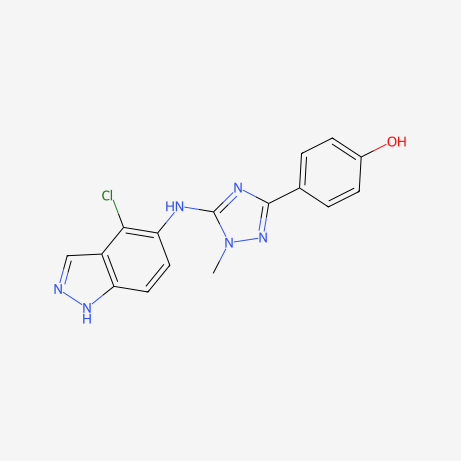 Cn1nc(-c2ccc(O)cc2)nc1Nc1ccc2[nH]ncc2c1Cl